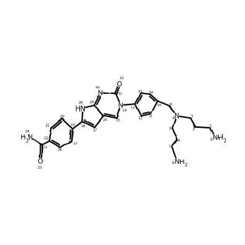 NCCCN(CCCN)Cc1ccc(-n2cc3cc(-c4ccc(C(N)=O)cc4)[nH]c3nc2=O)cc1